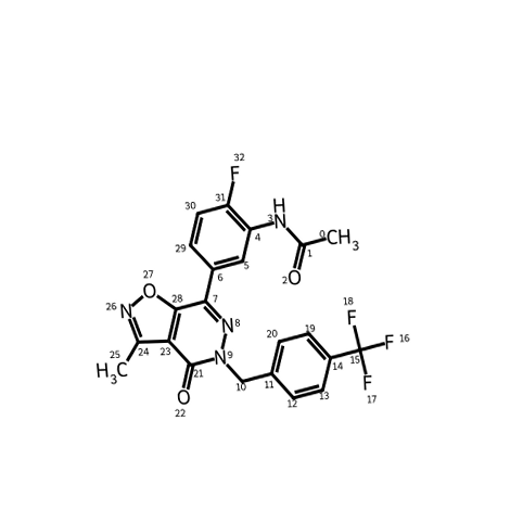 CC(=O)Nc1cc(-c2nn(Cc3ccc(C(F)(F)F)cc3)c(=O)c3c(C)noc23)ccc1F